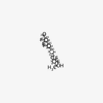 CC(O)c1ccc(OCC2CCC(c3ccc(-c4ccc(C5CO5)c(F)c4F)c(F)c3)CC2)c(F)c1F